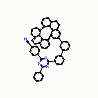 N#Cc1ccc(-c2nc(-c3ccccc3)nc(-c3cccc(-c4cccc(-c5cc6ccc7cccc8c9cccc%10ccc%11cccc(c(c5)c6c78)c%11c%109)c4)c3)n2)cc1